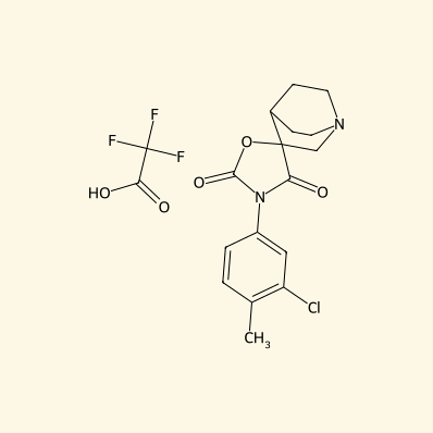 Cc1ccc(N2C(=O)OC3(CN4CCC3CC4)C2=O)cc1Cl.O=C(O)C(F)(F)F